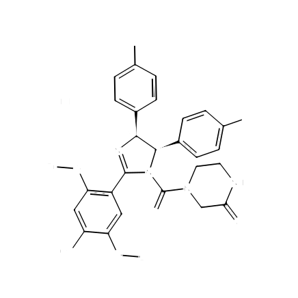 CCOc1cc(C(C)(C)C)c(OCC)cc1C1=N[C@@H](c2ccc(Cl)cc2)[C@@H](c2ccc(Cl)cc2)N1C(=O)N1CCNC(=O)C1.Cl